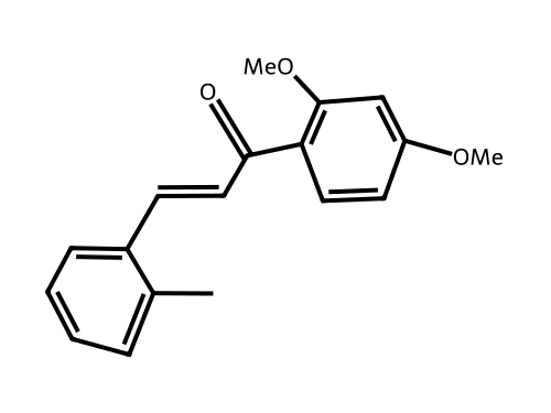 COc1ccc(C(=O)/C=C/c2ccccc2C)c(OC)c1